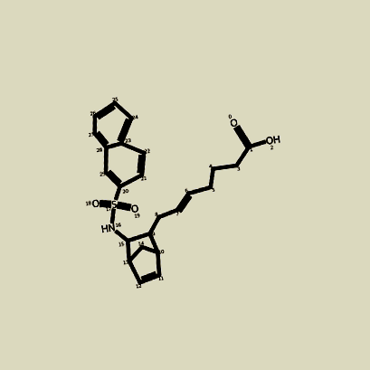 O=C(O)CCCC=CCC1C2C=CC(C2)C1NS(=O)(=O)c1ccc2ccccc2c1